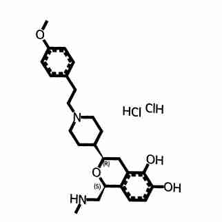 CNC[C@H]1O[C@@H](C2CCN(CCc3ccc(OC)cc3)CC2)Cc2c1ccc(O)c2O.Cl.Cl